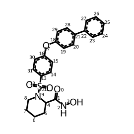 O=C(NO)C1CCCCN1S(=O)(=O)c1ccc(Oc2ccc(-c3ccccc3)cc2)cc1